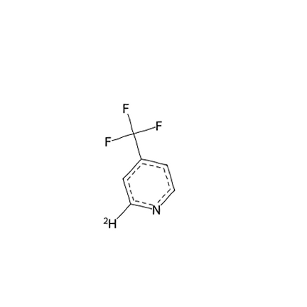 [2H]c1cc(C(F)(F)F)ccn1